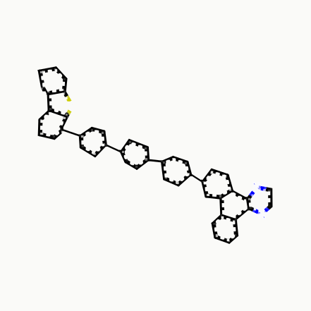 c1ccc2c(c1)sc1c(-c3ccc(-c4ccc(-c5ccc(-c6ccc7c(c6)c6ccccc6c6nccnc76)cc5)cc4)cc3)cccc12